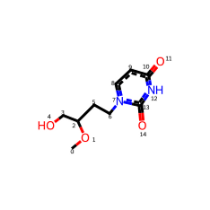 COC(CO)CCn1ccc(=O)[nH]c1=O